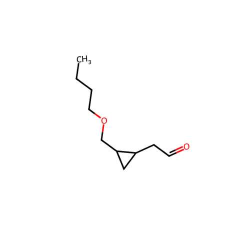 CCCCOCC1CC1CC=O